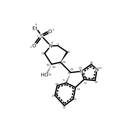 CCS(=O)(=O)N1CC[C@@H]([C@H]2c3ccccc3-c3cncn32)[C@H](O)C1